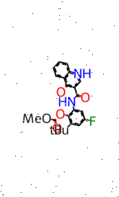 COC(=O)Oc1c(NC(=O)c2c[nH]c3ccccc3c2=O)cc(F)cc1C(C)(C)C